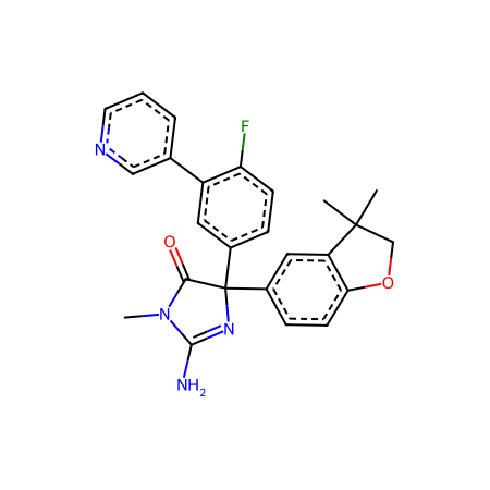 CN1C(=O)C(c2ccc(F)c(-c3cccnc3)c2)(c2ccc3c(c2)C(C)(C)CO3)N=C1N